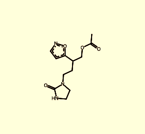 CC(=O)OCC(CCN1CCNC1=O)c1ccno1